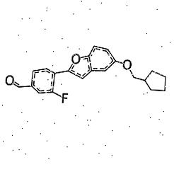 O=Cc1ccc(-c2cc3cc(OCC4CCCC4)ccc3o2)c(F)c1